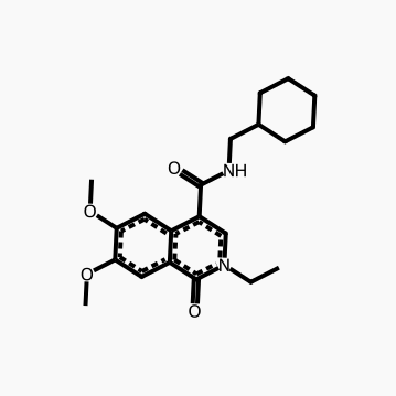 CCn1cc(C(=O)NCC2CCCCC2)c2cc(OC)c(OC)cc2c1=O